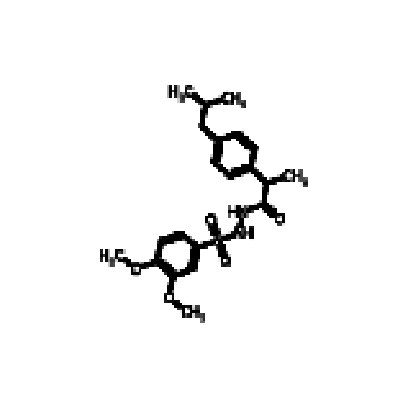 COc1ccc(S(=O)(=O)NNC(=O)C(C)c2ccc(CC(C)C)cc2)cc1OC